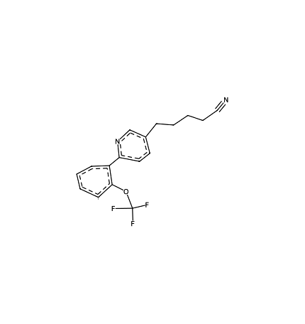 N#CCCCCc1ccc(-c2ccc[c]c2OC(F)(F)F)nc1